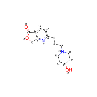 O=C1OCc2nc(CCCN3CCC(O)CC3)ccc21